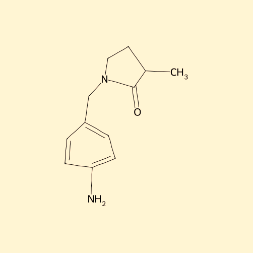 CC1CCN(Cc2ccc(N)cc2)C1=O